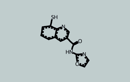 O=C(Nc1ncco1)c1cnc2c(S)cccc2c1